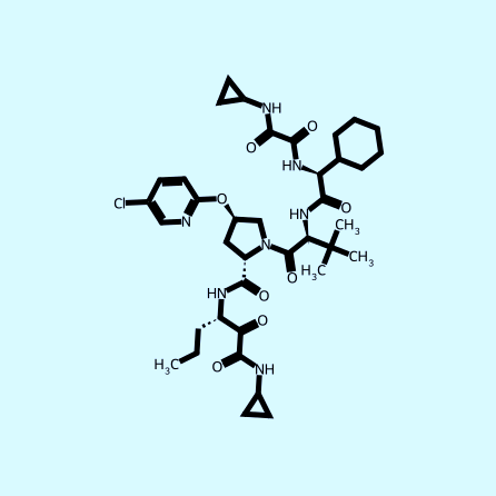 CCC[C@H](NC(=O)[C@@H]1C[C@@H](Oc2ccc(Cl)cn2)CN1C(=O)[C@@H](NC(=O)[C@@H](NC(=O)C(=O)NC1CC1)C1CCCCC1)C(C)(C)C)C(=O)C(=O)NC1CC1